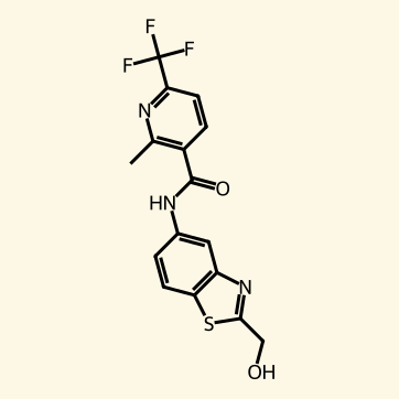 Cc1nc(C(F)(F)F)ccc1C(=O)Nc1ccc2sc(CO)nc2c1